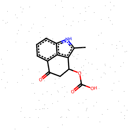 Cc1[nH]c2cccc3c2c1C(OC(=O)O)CC3=O